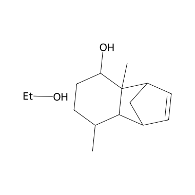 CC1CCC(O)C2(C)C3C=CC(C3)C12.CCO